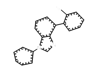 Brc1ccccc1-c1cccc2c1ncn2-c1ccccc1